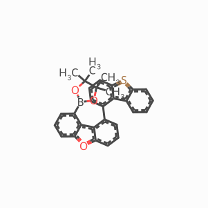 CC1(C)OB(c2cccc3oc4cccc(-c5cccc6sc7ccccc7c56)c4c23)OC1(C)C